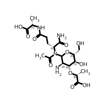 CC(=O)N(C1O[C@H](CO)[C@@H](O)[C@H](O[C@H](C)C(=O)O)[C@H]1N)[C@H](CCC(=O)N[C@@H](C)C(=O)O)C(N)=O